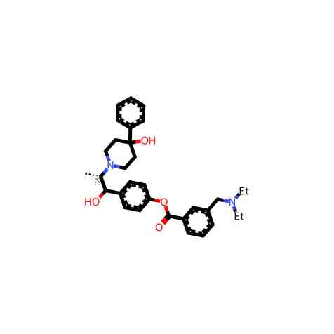 CCN(CC)Cc1cccc(C(=O)Oc2ccc(C(O)[C@H](C)N3CCC(O)(c4ccccc4)CC3)cc2)c1